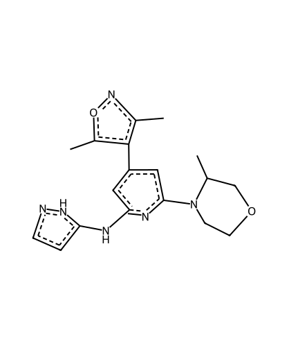 Cc1noc(C)c1-c1cc(Nc2ccn[nH]2)nc(N2CCOCC2C)c1